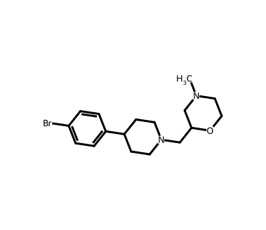 CN1CCOC(CN2CCC(c3ccc(Br)cc3)CC2)C1